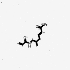 C=CC(=O)NCC(C)C/C=C/C(=O)C(C)C